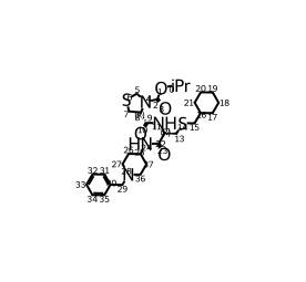 CC(C)OC(=O)N1CSC[C@H]1C(=O)N[C@@H](CSCC1CCCCC1)C(=O)NC1CCN(Cc2ccccc2)CC1